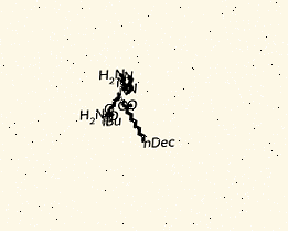 CCCCCCCCCCCCCCCCCCCC(=O)OC[C@H](CCOC(=O)[C@@H](N)[C@@H](C)CC)Cn1cnc2cnc(N)nc21